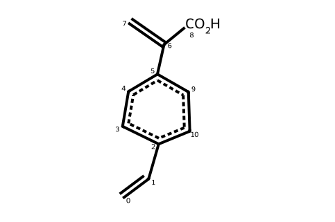 C=Cc1ccc(C(=C)C(=O)O)cc1